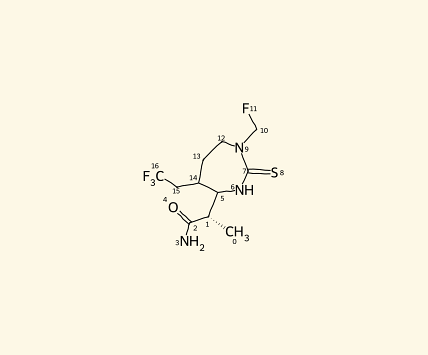 C[C@H](C(N)=O)C1NC(=S)N(CF)CCC1CC(F)(F)F